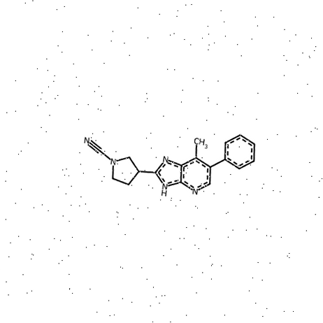 Cc1c(-c2ccccc2)cnc2[nH]c(C3CCN(C#N)C3)nc12